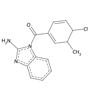 CC1C=C(C(=O)n2c(N)nc3ccccc32)C=CC1Cl